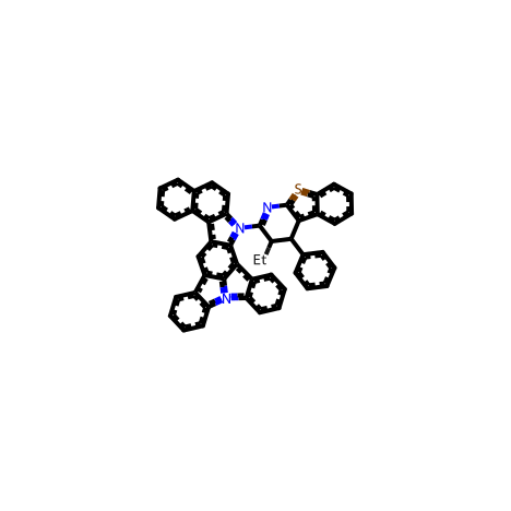 CCC1C(n2c3ccc4ccccc4c3c3cc4c5ccccc5n5c6ccccc6c(c32)c45)=Nc2sc3ccccc3c2C1c1ccccc1